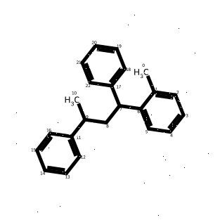 Cc1ccccc1C(CC(C)c1ccccc1)c1ccccc1